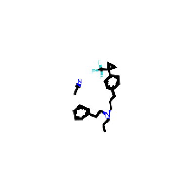 CC#N.CCCN(CCCc1ccc(C2(C(F)(F)F)CC2)cc1)CCc1ccccc1